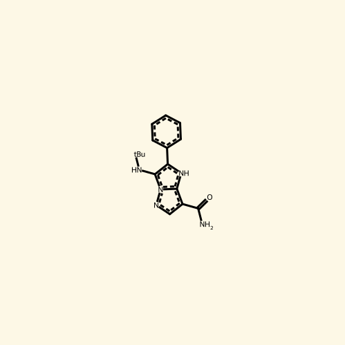 CC(C)(C)Nc1c(-c2ccccc2)[nH]c2c(C(N)=O)cnn12